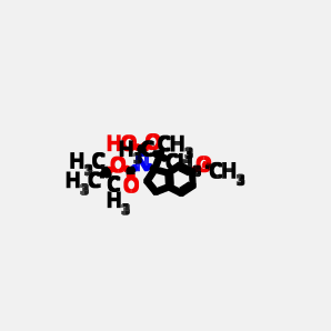 COc1ccc2c(c1)C(N(C(=O)O)C(=O)OC(C)(C)C)(C(C)(C)C)CC2